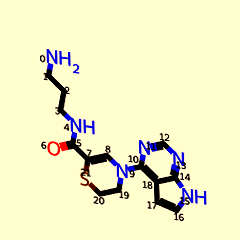 NCCCNC(=O)C1=CN(c2ncnc3[nH]ccc23)CCS1